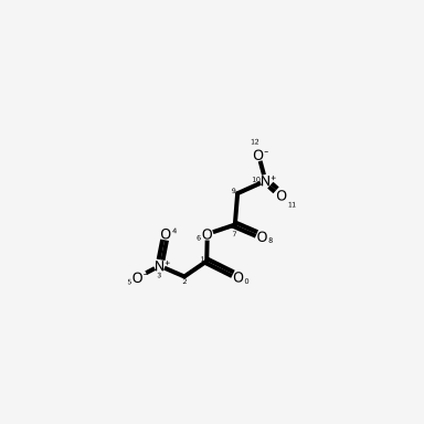 O=C(C[N+](=O)[O-])OC(=O)C[N+](=O)[O-]